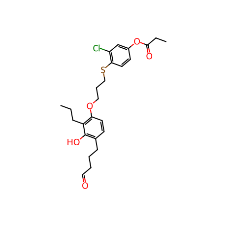 CCCc1c(OCCCSc2ccc(OC(=O)CC)cc2Cl)ccc(CCCC=O)c1O